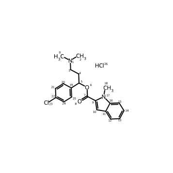 CN(C)CCC(OC(=O)c1cc2ccccc2n1C)c1ccc(Cl)cc1.Cl